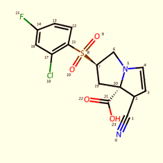 N#CC1C=CN2C[C@H](S(=O)(=O)c3ccc(F)cc3Cl)C[C@]12C(=O)O